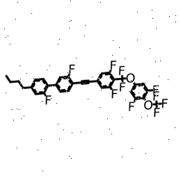 CCCCc1ccc(-c2ccc(C#Cc3cc(F)c(C(F)(F)Oc4cc(F)c(OC(F)(F)F)c(F)c4)c(F)c3)c(F)c2)c(F)c1